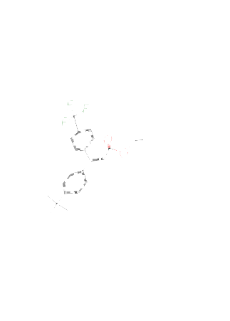 CCOC(=O)/C=C(/c1ccc(C(C)(C)C)cc1)c1ccc(C(F)(F)F)cc1